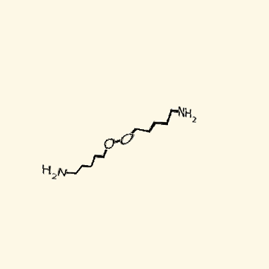 NCCCCCOOCCCCCN